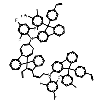 C=CC1=C(/C=C\CN(c2ccc3c(c2)C(c2ccc(C=C)cc2)(c2cc(C)ccc2C)c2ccccc2-3)c2c(F)cc(F)cc2F)c2ccccc2C12C1=CCC(N(c3ccc4c(c3)C(c3ccc(C=C)cc3)(c3cc(C)c(CCC)cc3C)c3ccccc3-4)c3c(F)cc(F)cc3F)=CC=C1c1ccccc12